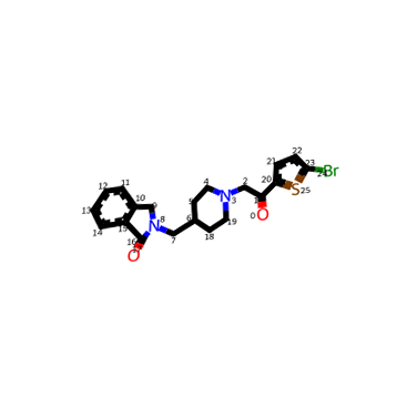 O=C(CN1CCC(CN2Cc3ccccc3C2=O)CC1)c1ccc(Br)s1